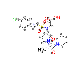 C[C@@H](C(=O)N1CCCCC1)[N+]12CC[C@H](N(CC(=O)O)S(=O)(=O)/C=C/c3ccc(Cl)cc3)C1O2